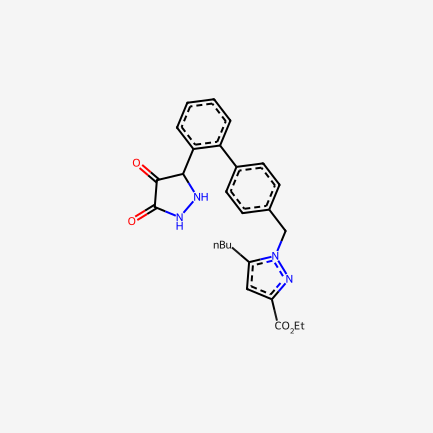 CCCCc1cc(C(=O)OCC)nn1Cc1ccc(-c2ccccc2C2NNC(=O)C2=O)cc1